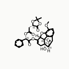 COc1ccc2c3c1O[C@@H]1C(OC(=O)[C@@H](OC(=O)C[C@@H]4OC(C)(C)OC4=O)c4ccccc4)=CC[C@]4(O)[C@@H](CCC[C@@]314)C2